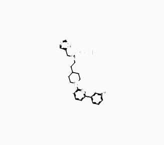 O=C(O)N(CCC1CCN(c2cccc(-c3cccc(Cl)c3)n2)CC1)Cc1cscn1